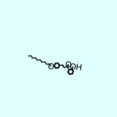 CCCCCCCCCCOc1ccc(C=CC(=O)c2ccccc2O)cc1